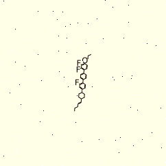 CCC/C=C/C1CCC(c2ccc(-c3ccc(-c4ccc(OCCC)c(F)c4F)cc3)c(F)c2)CC1